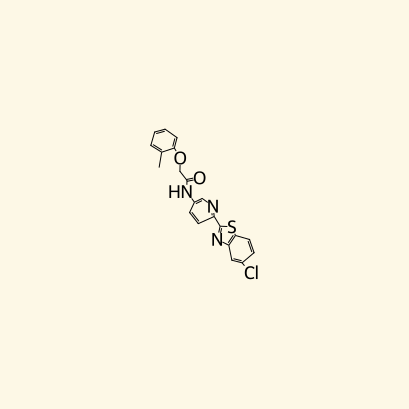 Cc1ccccc1OCC(=O)Nc1ccc(-c2nc3cc(Cl)ccc3s2)nc1